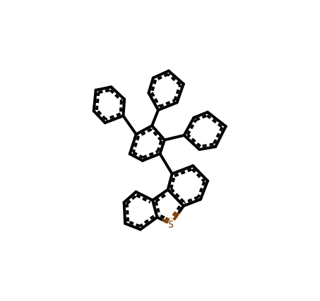 c1ccc(-c2ccc(-c3cccc4sc5ccccc5c34)c(-c3ccccc3)c2-c2ccccc2)cc1